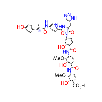 COc1c(NC(=O)c2ccc(NC(=O)c3ccc(NC(=O)C(Cc4cnn[nH]4)NC(=O)c4ccc(NC(=O)/C(C)=C/c5ccc(O)cc5)cn4)cc3O)c(OC)c2O)ccc(C(=O)O)c1O